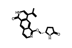 C=C(C)c1c[nH]c(=O)c2cc3ccnc(OC[C@@H]4CCC(=O)N4)c3cc12